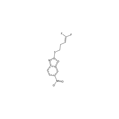 O=[N+]([O-])c1ccc2nc(SCCC=C(F)F)oc2c1